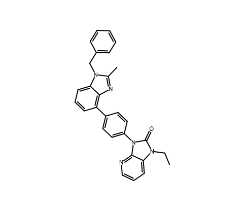 CCn1c(=O)n(-c2ccc(-c3cccc4c3nc(C)n4Cc3ccccc3)cc2)c2ncccc21